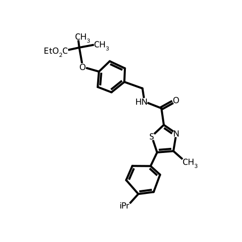 CCOC(=O)C(C)(C)Oc1ccc(CNC(=O)c2nc(C)c(-c3ccc(C(C)C)cc3)s2)cc1